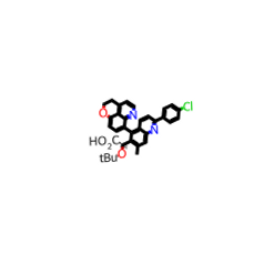 Cc1cc2nc(-c3ccc(Cl)cc3)ccc2c(-c2ccc3c4c(ccnc24)CCO3)c1[C@H](OC(C)(C)C)C(=O)O